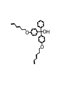 C=CC=CCCOc1ccc(C(O)(c2ccccc2)c2ccc(OCCC=CC=C)cc2)cc1